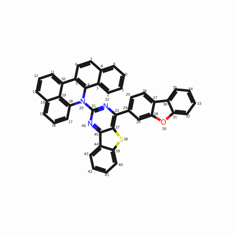 c1ccc2c3c(ccc2c1)-c1cccc2cccc(c12)N3c1nc(-c2ccc3c(c2)oc2ccccc23)c2sc3ccccc3c2n1